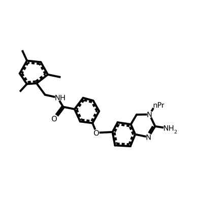 CCCN1Cc2cc(Oc3cccc(C(=O)NCc4c(C)cc(C)cc4C)c3)ccc2N=C1N